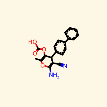 CC1=C(OC(=O)O)C(c2ccc(-c3ccccc3)cc2)C(C#N)=C(N)O1